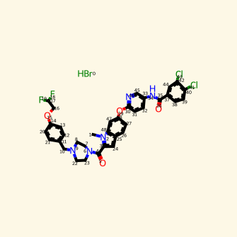 Br.Cn1c(C(=O)N2CCN(Cc3ccc(OCC(F)F)cc3)CC2)cc2ccc(Oc3ccc(NC(=O)c4ccc(Cl)c(Cl)c4)cn3)cc21